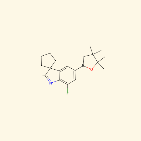 CC1=Nc2c(F)cc(B3CC(C)(C)C(C)(C)O3)cc2C12CCCC2